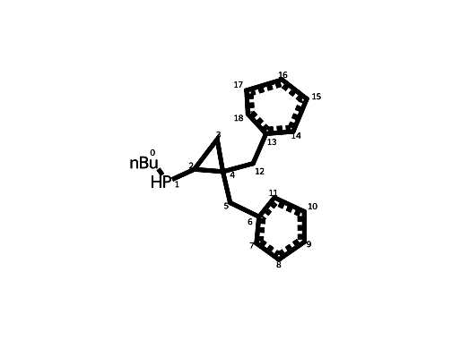 CCCCPC1CC1(Cc1ccccc1)Cc1ccccc1